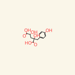 O=C(O)C(O)CC(O)(Cc1ccc(O)cc1)C(=O)O